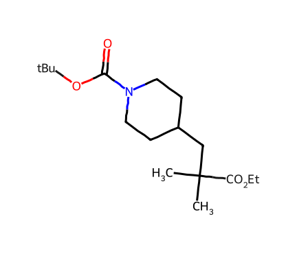 CCOC(=O)C(C)(C)CC1CCN(C(=O)OC(C)(C)C)CC1